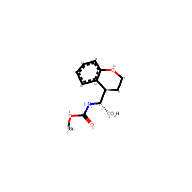 CC(C)(C)OC(=O)N[C@@H](C(=O)O)[C@@H]1CCOc2ccccc21